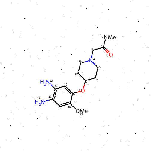 CNC(=O)CN1CCC(Oc2cc(N)c(N)cc2OC)CC1